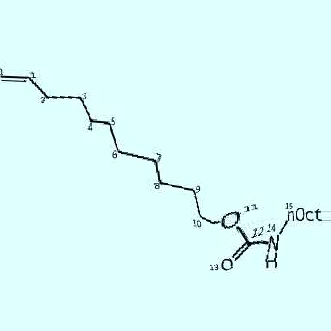 C=CCCCCCCCCCOC(=O)NCCCCCCCC